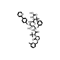 Cc1cccc(CN2CCN([C@H](C(=O)N[C@@H](Cc3ccccc3)C[C@H](O)[C@H](Cc3ccc(-c4ccccn4)cc3)NC(=O)[C@@H](NC(=O)O)C(C)(C)C)C(C)(C)C)C2=O)n1